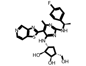 Cc1nc(N[C@H](C)c2ccc(F)cc2)nc(N[C@@H]2C[C@H](CO)[C@@H](O)[C@H]2O)c1-c1nc2cnccc2s1